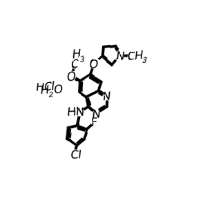 COc1cc2c(Nc3ccc(Cl)cc3F)ncnc2cc1OC1CCN(C)C1.Cl.O